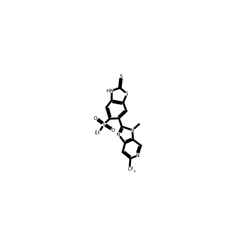 CCS(=O)(=O)c1cc2[nH]c(=S)sc2cc1-c1nc2cc(C(F)(F)F)ncc2n1C